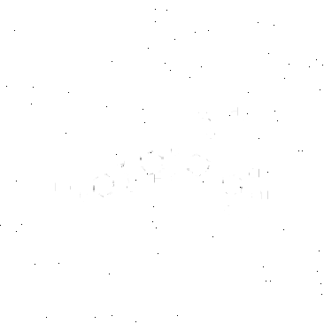 COc1ccc(S(=O)(=O)c2ccc(Oc3c(C)cc(-c4cc(C)c(C)c(C)c4)cc3COC(C)=O)cc2)cc1